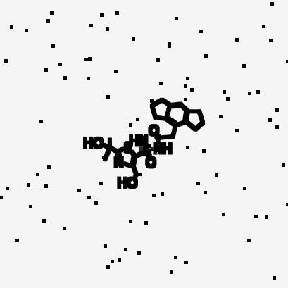 CC(C)(O)c1nc(CO)c([S@@](=N)(=O)NC(=O)Cc2c3c(cc4c2CCC4)CCC3)s1